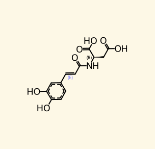 O=C(O)C[C@@H](NC(=O)/C=C/c1ccc(O)c(O)c1)C(=O)O